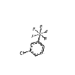 FS(F)(F)(F)(F)c1c[c]cc(Cl)c1